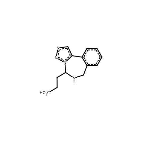 O=C(O)CCC1NCc2ccccc2-c2cnnn21